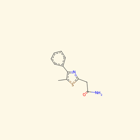 Cc1sc(CC(N)=O)nc1-c1ccccc1